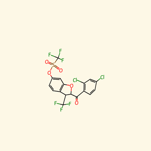 O=C(c1ccc(Cl)cc1Cl)C1Oc2cc(OS(=O)(=O)C(F)(F)F)ccc2C1C(F)(F)F